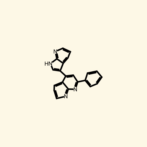 c1ccc(-c2cc(-c3c[nH]c4ncccc34)c3cccnc3n2)cc1